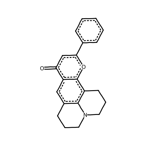 O=c1cc(-c2ccccc2)oc2c3c4c(cc12)CCCN4CCC3